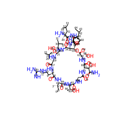 CC[C@H](C)[C@@H]1NC(=O)[C@@H](CCCNC(=N)N)NC(=O)[C@H](CC(C)C)NC(=O)[C@H]([C@H](O)C(C)C)NC(=O)[C@@H](NC(=O)[C@H](CC(C)C)NC(=O)[C@@](C)(N)CC(C)C)[C@@H](c2ccccc2)OC(=O)[C@H](CO)NC(=O)[C@H]([C@H](O)C(N)=O)NC(=O)CNC(=O)[C@H]([C@H](C)O)NC1=O